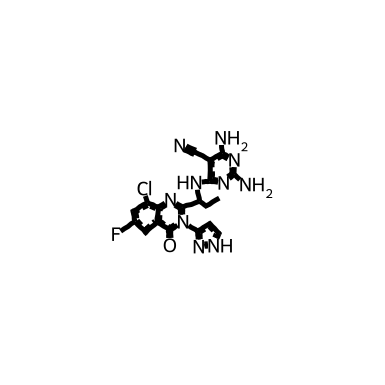 CCC(Nc1nc(N)nc(N)c1C#N)c1nc2c(Cl)cc(F)cc2c(=O)n1-c1cc[nH]n1